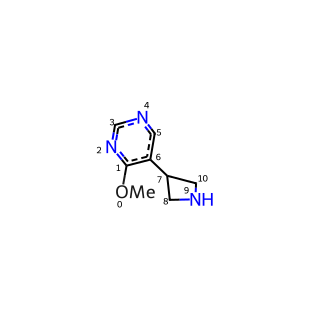 COc1ncncc1C1CNC1